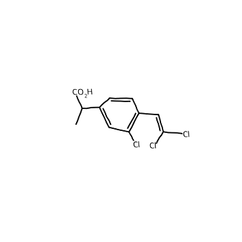 CC(C(=O)O)c1ccc(C=C(Cl)Cl)c(Cl)c1